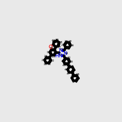 C1=CCCC(C2=CCC(c3ccc(C4=NC(c5ccccc5)=NC(c5cc(C6=CCCC=C6)cc6c5C5C=CC=CC5O6)N4)cc3)CC2)=C1